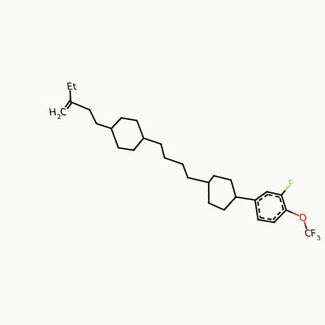 C=C(CC)CCC1CCC(CCCCC2CCC(c3ccc(OC(F)(F)F)c(F)c3)CC2)CC1